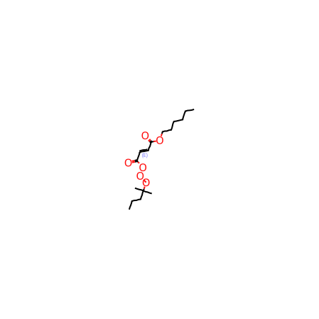 CCCCCCOC(=O)/C=C/C(=O)OOOC(C)(C)CCC